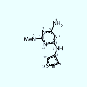 CNc1nc(N)nc(Nc2ccsc2)n1